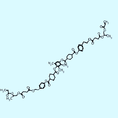 C=CC(=O)OCC(C)OC(=O)CCC(=O)OCCc1ccc(OC(=O)C2CCC(C(=O)Oc3cc(C)c(OC(=O)C4CCC(C(=O)Oc5ccc(CCOC(=O)CCC(=O)OCC(C)OC(=O)C=C)cc5)CC4)c(C)c3C)CC2)cc1